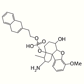 COc1cccc2c1OC1C(O)CCC3(OP(=O)(O)OCCC4=CCc5ccccc5C4)C(C)C(N)CCC213